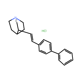 C(=C\C1CN2CCC1CC2)/c1ccc(-c2ccccc2)cc1.Cl